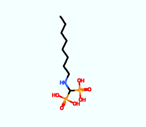 CCCCCCCCNC(P(=O)(O)O)P(=O)(O)O